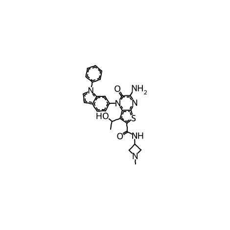 CC(O)c1c(C(=O)NC2CN(C)C2)sc2nc(N)c(=O)n(-c3ccc4ccn(-c5ccccc5)c4c3)c12